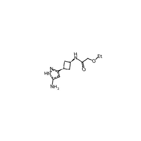 CCOCC(=O)N[C@H]1C[C@@H](c2cc(N)[nH]n2)C1